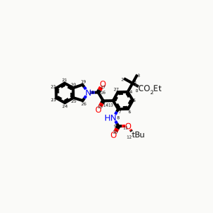 CCOC(=O)C(C)(C)c1ccc(NC(=O)OC(C)(C)C)c(C(=O)C(=O)N2Cc3ccccc3C2)c1